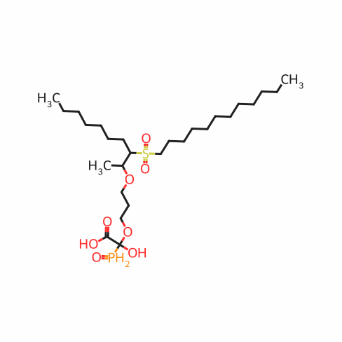 CCCCCCCCCCCCS(=O)(=O)C(CCCCCCC)C(C)OCCCOC(O)([PH2]=O)C(=O)O